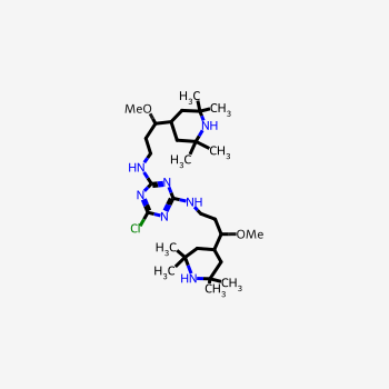 COC(CCNc1nc(Cl)nc(NCCC(OC)C2CC(C)(C)NC(C)(C)C2)n1)C1CC(C)(C)NC(C)(C)C1